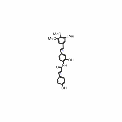 COc1cc(/C=C/c2ccc(NC(=O)/C=C/c3ccc(O)cc3)c(O)c2)cc(OC)c1OC